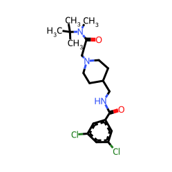 CN(C(=O)CN1CCC(CNC(=O)c2cc(Cl)cc(Cl)c2)CC1)C(C)(C)C